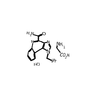 CC(C)Cn1cnc2c(C(N)=O)nc3ccccc3c21.Cl.NCC(=O)O